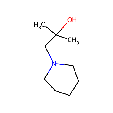 CC(C)(O)CN1CCCCC1